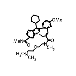 CNC(=O)c1ccc2c(C3CCCCC3)c3n(c2c1)CC(C(=O)N(C)CCOCCN(C)C)=Cc1cc(OC)ccc1-3